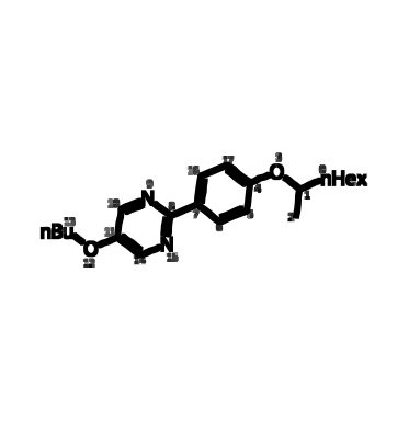 CCCCCCC(C)Oc1ccc(-c2ncc(OCCCC)cn2)cc1